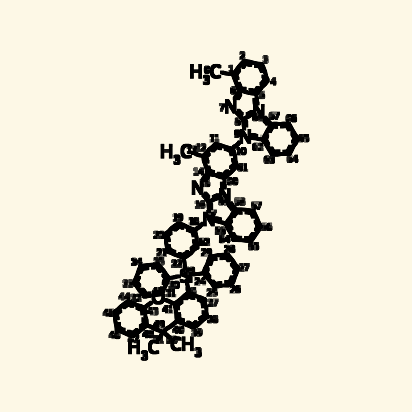 Cc1cccc2c1nc1n(-c3cc(C)c4nc5n(-c6cccc([Si](c7ccccc7)(c7ccccc7)c7cccc8c7Oc7ccccc7C8(C)C)c6)c6ccccc6n5c4c3)c3ccccc3n21